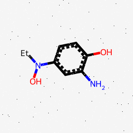 CCN(O)c1ccc(O)c(N)c1